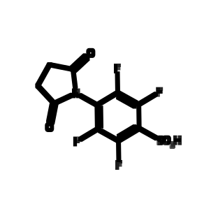 O=C1CCC(=O)N1c1c(F)c(F)c(S(=O)(=O)O)c(F)c1F